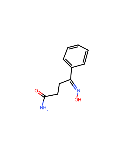 NC(=O)CCC(=NO)c1ccccc1